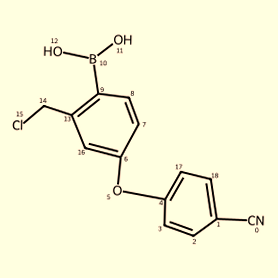 N#Cc1ccc(Oc2ccc(B(O)O)c(CCl)c2)cc1